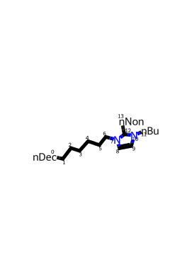 CCCCCCCCCCCCCCCCN1C=CN(CCCC)C1CCCCCCCCC